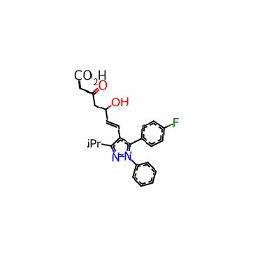 CC(C)c1nn(-c2ccccc2)c(-c2ccc(F)cc2)c1/C=C/C(O)CC(=O)CC(=O)O